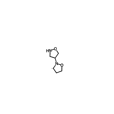 [CH]1CCON1C1CNOC1